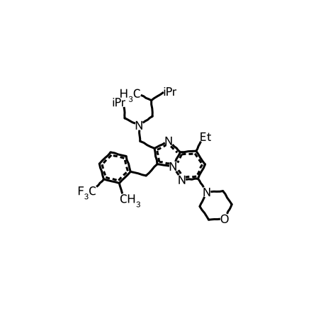 CCc1cc(N2CCOCC2)nn2c(Cc3cccc(C(F)(F)F)c3C)c(CN(CC(C)C)CC(C)C(C)C)nc12